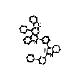 c1ccc(-c2cccc(-c3nc(-c4cccc(-c5nc6ccccc6c6c(-c7ccccc7)c7c(cc56)oc5ccccc57)c4)c4ccccc4n3)c2)cc1